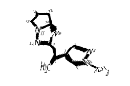 C=C(c1cnn(C)c1)c1nc2n(n1)CCC2